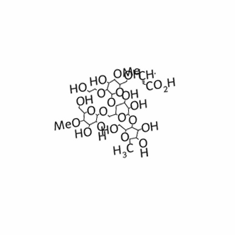 COC1C(CO)OC(OCC2OC(OC3C(CO)OC(C)C(O)C3O)C(O)C(O)C2OC2OC(CO)C(OC)C(O)C2OCCO)C(O)C1O.[CH]=CC(=O)O